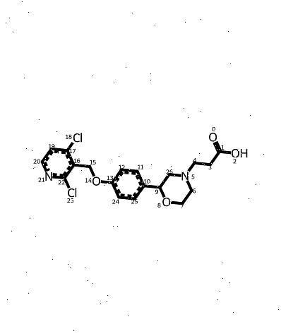 O=C(O)CCN1CCOC(c2ccc(OCc3c(Cl)ccnc3Cl)cc2)C1